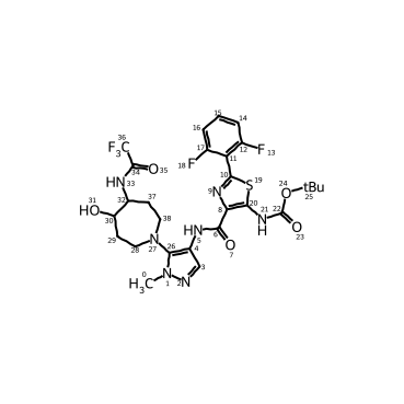 Cn1ncc(NC(=O)c2nc(-c3c(F)cccc3F)sc2NC(=O)OC(C)(C)C)c1N1CCC(O)C(NC(=O)C(F)(F)F)CC1